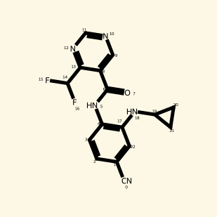 N#Cc1ccc(NC(=O)c2cncnc2C(F)F)c(NC2CC2)c1